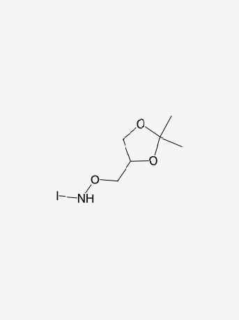 CC1(C)OCC(CONI)O1